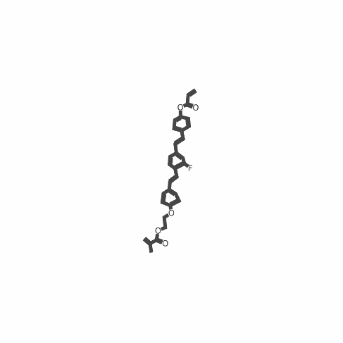 C=CC(=O)Oc1ccc(/C=C/c2ccc(/C=C/c3ccc(OCCOC(=O)C(=C)C)cc3)c(F)c2)cc1